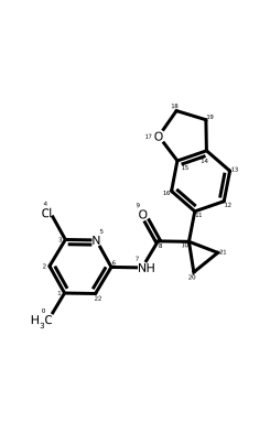 Cc1cc(Cl)nc(NC(=O)C2(c3ccc4c(c3)OCC4)CC2)c1